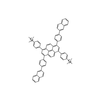 C[Si](C)(C)c1ccc(-c2cc(-c3ccc(-c4ccc5ccccc5c4)cc3)c3ccc4c(-c5ccc([Si](C)(C)C)cc5)cc(-c5ccc(-c6ccc7ccccc7c6)cc5)c5ccc2c3c54)cc1